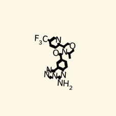 CC1COCC(c2ccc(C(F)(F)F)cn2)N1C(=O)c1ccc2nc(N)n3cnnc3c2c1